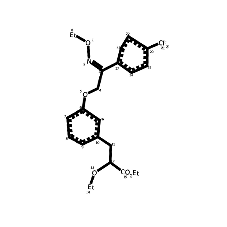 CCON=C(COc1cccc(CC(OCC)C(=O)OCC)c1)c1ccc(C(F)(F)F)cc1